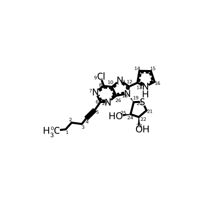 CCCCC#Cc1nc(Cl)c2nc(-c3ccc[nH]3)n([C@@H]3SC[C@@H](O)[C@H]3O)c2n1